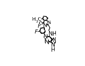 Cc1cccc2nc(CCNc3ncnc4[nH]cnc34)n(-c3cccc(F)c3F)c(=O)c12